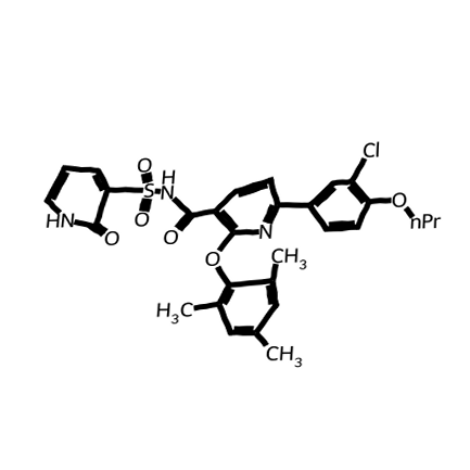 CCCOc1ccc(-c2ccc(C(=O)NS(=O)(=O)c3ccc[nH]c3=O)c(Oc3c(C)cc(C)cc3C)n2)cc1Cl